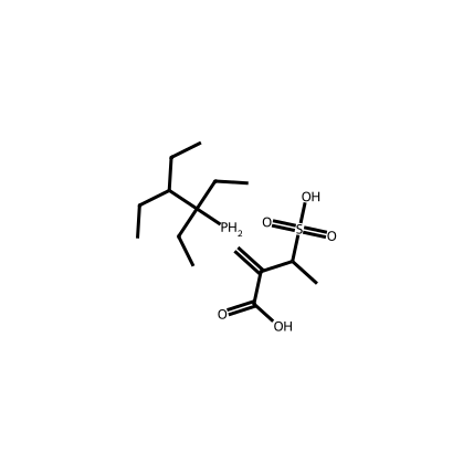 C=C(C(=O)O)C(C)S(=O)(=O)O.CCC(CC)C(P)(CC)CC